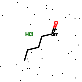 CCC[CH2][Sn]=[O].Cl